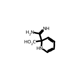 N=C(N)C1(C(=O)O)C=CC=CN1